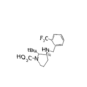 CC(C)(C)C1[C@@H](NCc2ccccc2C(F)(F)F)CCCN1C(=O)O